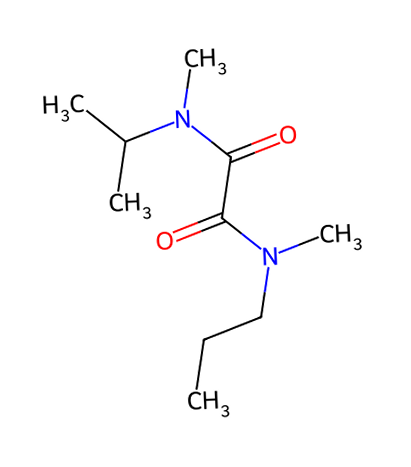 CCCN(C)C(=O)C(=O)N(C)C(C)C